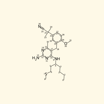 CCCCC(CCSC)Nc1nc(N)nc(C)c1Cc1cc(C(C)(C)C#N)ccc1OC